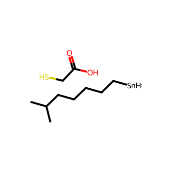 CC(C)CCCC[CH2][SnH].O=C(O)CS